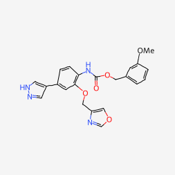 COc1cccc(COC(=O)Nc2ccc(-c3cn[nH]c3)cc2OCc2cocn2)c1